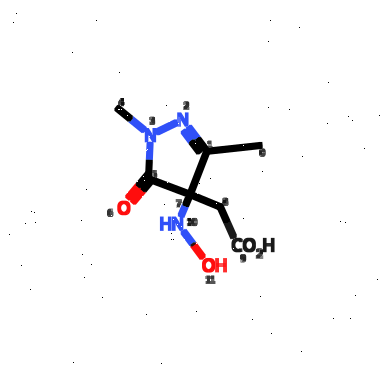 CC1=NN(C)C(=O)C1(CC(=O)O)NO